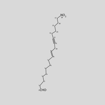 O=[C]CCCCCCCC=CCC#CCCCCC[N+](=O)[O-]